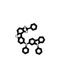 c1ccc(-c2nc3ccc4oc5ccc(N(c6ccccc6)c6ccc7c8ccccc8n(-c8ccccc8)c7c6)cc5c4c3o2)cc1